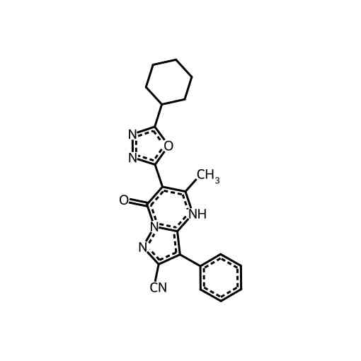 Cc1[nH]c2c(-c3ccccc3)c(C#N)nn2c(=O)c1-c1nnc(C2CCCCC2)o1